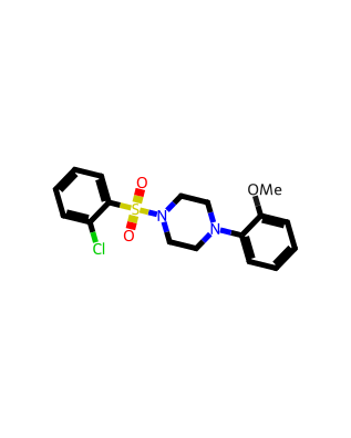 COc1ccccc1N1CCN(S(=O)(=O)c2ccccc2Cl)CC1